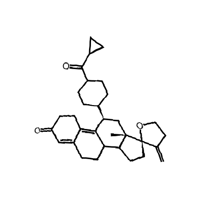 C=C1CCO[C@]12CCC1C3CCC4=CC(=O)CCC4=C3[C@@H](C3CCC(C(=O)C4CC4)CC3)C[C@@]12C